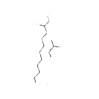 CC(O)CO.O=C(O)CCCCCCCCC(O)CO